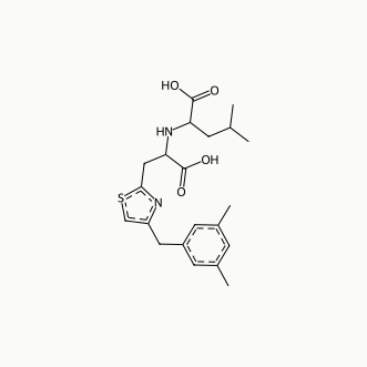 Cc1cc(C)cc(Cc2csc(CC(NC(CC(C)C)C(=O)O)C(=O)O)n2)c1